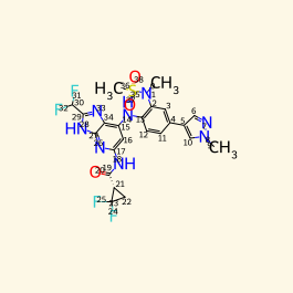 CN(c1cc(-c2cnn(C)c2)ccc1Nc1cc(NC(=O)[C@@H]2CC2(F)F)nc2[nH]c(C(F)F)nc12)S(C)(=O)=O